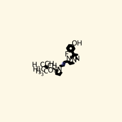 CC(C)(C)C(C)(C)OC[C@@H]1CCCN1C/C=C/c1ccn2ncc(-c3cc(O)ccc3F)c2n1